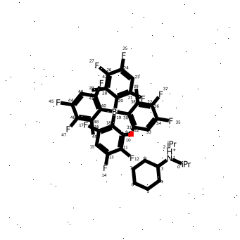 CC(C)[NH+](C(C)C)C1CCCCC1.Cc1c(F)c(F)cc(F)c1[B-](c1c(F)cc(F)c(F)c1C)(c1c(F)cc(F)c(F)c1C)c1c(F)cc(F)c(F)c1C